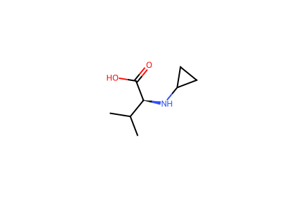 CC(C)[C@H](NC1CC1)C(=O)O